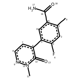 Cc1cc(F)c(-c2ccnn(C)c2=O)cc1C(N)=O